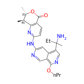 CCCOc1ncc(C(C)(N)CC)c2cc(Nc3ccc4c(n3)[C@@H](C)[C@H](C)OC4=O)ncc12